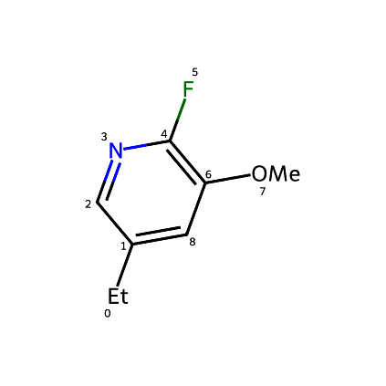 [CH2]Cc1cnc(F)c(OC)c1